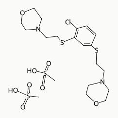 CS(=O)(=O)O.CS(=O)(=O)O.Clc1ccc(SCCN2CCOCC2)cc1SCCN1CCOCC1